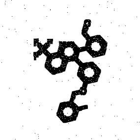 Cc1ccccc1COc1cccc(-c2c(-c3ccccc3C=O)cnc3c(C(F)(F)F)cccc23)c1